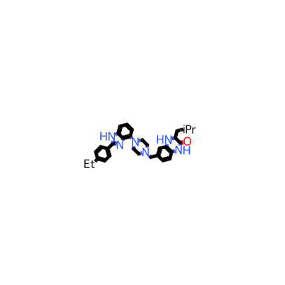 CCc1ccc(-c2nc3c(N4CCN(Cc5ccc6c(c5)NC(CC(C)C)C(=O)N6)CC4)cccc3[nH]2)cc1